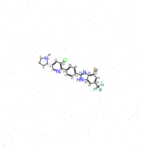 CN1CCC[C@H]1c1cnc(-c2ccc(-c3nc4c(Br)cc(C(F)(F)F)cc4[nH]3)cc2)c(Cl)c1